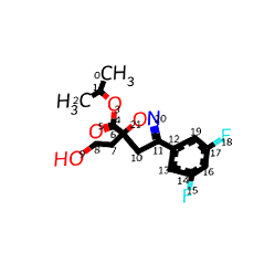 CC(C)OC(=O)C1(CCO)CC(c2cc(F)cc(F)c2)=NO1